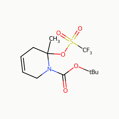 CC(C)(C)OC(=O)N1CC=CCC1(C)OS(=O)(=O)C(F)(F)F